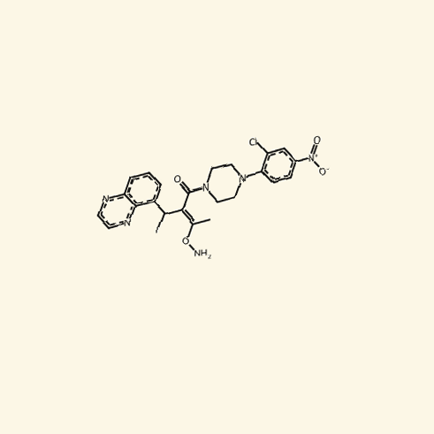 C/C(ON)=C(\C(=O)N1CCN(c2ccc([N+](=O)[O-])cc2Cl)CC1)C(I)c1cccc2nccnc12